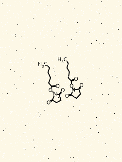 CCCCCC(=O)ON1C(=O)CCC1=O.CCCCCC(=O)ON1C(=O)CCC1=O